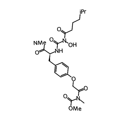 CNC(=O)[C@H](Cc1ccc(OCC(=O)N(C)C(=O)OC)cc1)NC(=O)N(O)C(=O)CCCC(C)C